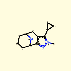 Cn1nc2c(c1C1CC1)CC1CCCC2N1